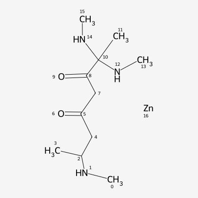 CNC(C)CC(=O)CC(=O)C(C)(NC)NC.[Zn]